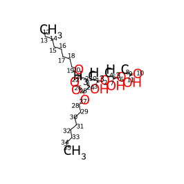 CC(=O)O.CC(=O)O.CC(=O)O.CCCCCCCCOC(=O)/C=C\C(=O)OCCCCCCCC